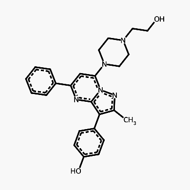 Cc1nn2c(N3CCN(CCO)CC3)cc(-c3ccccc3)nc2c1-c1ccc(O)cc1